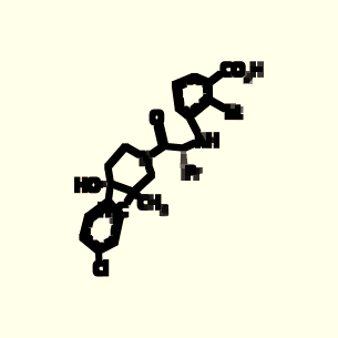 CCc1c(N[C@@H](C(=O)N2CC[C@](O)(c3ccc(Cl)cc3)C(C)(C)C2)C(C)C)cccc1C(=O)O